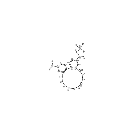 C=C(C)c1ccc2c(c1)OCCOCCOCCOc1cc(C(=C)O[Si](C)(C)C)ccc1-2